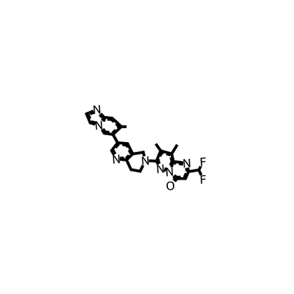 Cc1cc2nccn2cc1-c1cnc2c(c1)CN(c1nn3c(=O)cc(C(F)F)nc3c(C)c1C)CC2